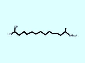 CCCCCCCC(C)CCCCCCCCCCCC(O)O